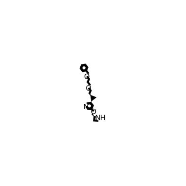 c1ccc(COCCCOCC[C@H]2C[C@@H]2c2cncc(OC[C@@H]3CCN3)c2)cc1